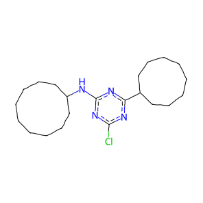 Clc1nc(NC2CCCCCCCCC2)nc(C2CCCCCCCC2)n1